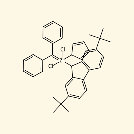 CC(C)(C)c1ccc2c(c1)[CH]([Zr]([Cl])([Cl])(=[C](c1ccccc1)c1ccccc1)[CH]1C=CC=C1)c1cc(C(C)(C)C)ccc1-2